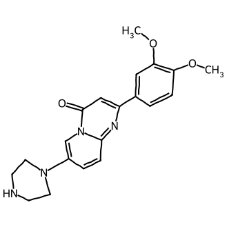 COc1ccc(-c2cc(=O)n3cc(N4CCNCC4)ccc3n2)cc1OC